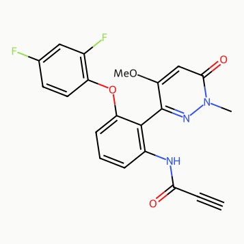 C#CC(=O)Nc1cccc(Oc2ccc(F)cc2F)c1-c1nn(C)c(=O)cc1OC